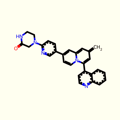 C=C1C=C2C=C(c3ccc(N4CCNC(=O)C4)nc3)C=CN2C(c2ccnc3ccccc23)=C1